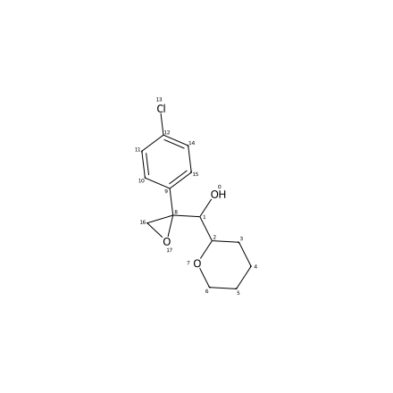 OC(C1CCCCO1)C1(c2ccc(Cl)cc2)CO1